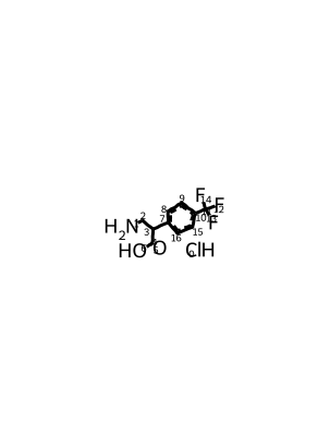 Cl.NCC(C(=O)O)c1ccc(C(F)(F)F)cc1